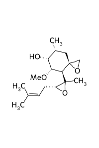 CO[C@@H]1[C@H](O)[C@H](C)C[C@]2(CO2)[C@H]1C1(C)O[C@@H]1CC=C(C)C